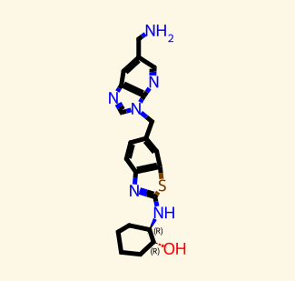 NCc1cnc2c(c1)ncn2Cc1ccc2nc(N[C@@H]3CCCC[C@H]3O)sc2c1